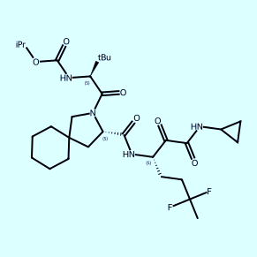 CC(C)OC(=O)N[C@H](C(=O)N1CC2(CCCCC2)C[C@H]1C(=O)N[C@@H](CCC(C)(F)F)C(=O)C(=O)NC1CC1)C(C)(C)C